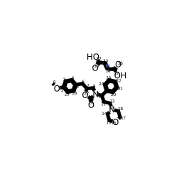 COc1ccc(CC2CN(C(CCN3CCOCC3)c3ccccc3)C(=O)O2)cc1.O=C(O)/C=C/C(=O)O